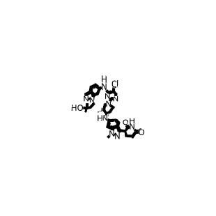 C[C@@H]1CN(c2ncc(Cl)c(Nc3ccc4cnn(CCC(C)(C)O)c4c3)n2)CC[C@H]1Nc1ccc2c(C3CCC(=O)NC3=O)nn(C)c2c1